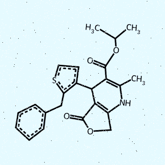 CC1=C(C(=O)OC(C)C)C(c2ccsc2Cc2ccccc2)C2=C(COC2=O)N1